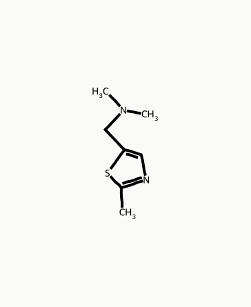 Cc1ncc(CN(C)C)s1